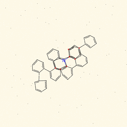 c1ccc(-c2ccc(N(c3ccccc3-c3ccccc3-c3ccccc3-c3ccccc3)c3ccccc3-c3cccc4cccc(-c5ccccc5)c34)cc2)cc1